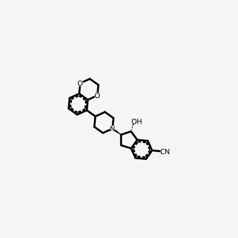 N#Cc1ccc2c(c1)[C@@H](O)[C@H](N1CCC(c3cccc4c3OCCO4)CC1)C2